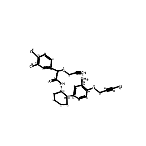 C#CCOC(C(=O)N[C@H]1CCCC[C@@H]1c1ccc(OCC#CCC)c(OC)c1)c1ccc(Cl)c(Cl)c1